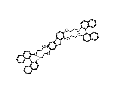 OCCOc1ccc2ccccc2c1-c1c(OCCOc2ccc3c(c2)Cc2cc(OCCOc4ccc5ccccc5c4-c4c(OCCO)ccc5ccccc45)ccc2-3)ccc2ccccc12